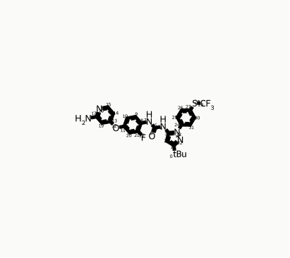 CC(C)(C)c1cc(NC(=O)Nc2ccc(Oc3ccnc(N)c3)cc2F)n(-c2ccc(SC(F)(F)F)cc2)n1